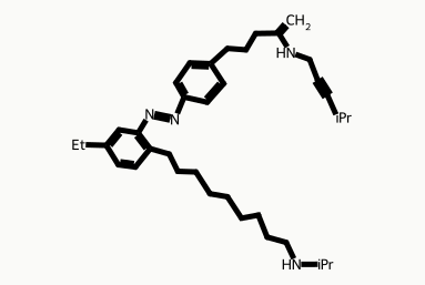 C=C(CCCc1ccc(/N=N/c2cc(CC)ccc2CCCCCCCCCNC(C)C)cc1)NCC#CC(C)C